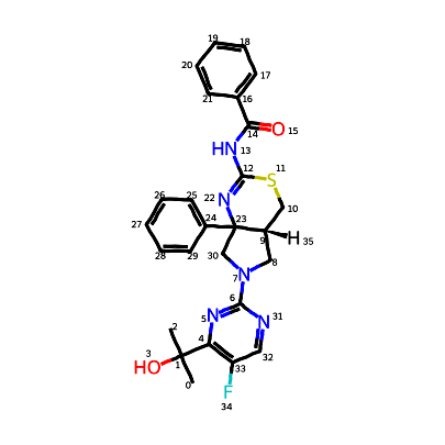 CC(C)(O)c1nc(N2C[C@H]3CSC(NC(=O)c4ccccc4)=NC3(c3ccccc3)C2)ncc1F